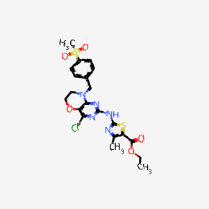 CCOC(=O)c1sc(Nc2nc(Cl)c3c(n2)N(Cc2ccc(S(C)(=O)=O)cc2)CCO3)nc1C